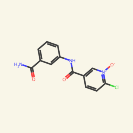 NC(=O)c1cccc(NC(=O)c2ccc(Cl)[n+]([O-])c2)c1